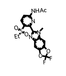 CCS(=O)(=O)c1ccc(NC(C)=O)nc1-c1nc2cc3c(cc2n1C)OC(F)(F)O3